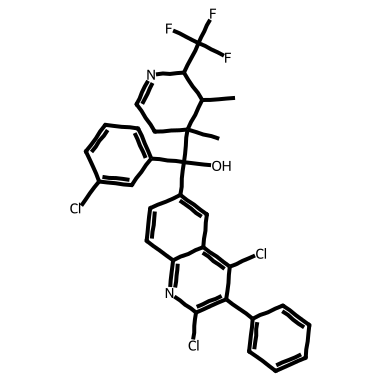 CC1C(C(F)(F)F)N=CCC1(C)C(O)(c1cccc(Cl)c1)c1ccc2nc(Cl)c(-c3ccccc3)c(Cl)c2c1